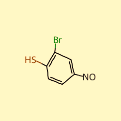 O=Nc1ccc(S)c(Br)c1